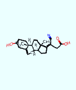 C[C@]12CCC(O)CC1=CC[C@@H]1[C@@H]2CC[C@]2(C)C(=C(C#N)CC(=O)O)CC[C@@H]12